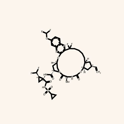 C=C[C@@H]1C[C@H]2CCCCC(F)(F)c3nc4ccc(OC(F)F)cc4nc3O[C@@H]3C[C@@H](C(=O)N[C@]4(C(=O)NS(=O)(=O)C5CC5)C[C@H]4C(F)F)N(C3)C(=O)[C@H](C(C)(C)C)NC(=O)O[C@@H]2C1